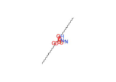 CCCCCCCCC=CCCCCCCCC(=O)OCC(COC(=O)CCCCCCCC=CCCCCCCCC)OS(=O)(=O)NCCN(C)C